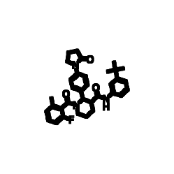 Cc1cccc(F)c1C(=O)N1CCCC(C(=O)Nc2cccc(C(C)(C)C)c2)C1c1ccc(N2CCCC2=O)cc1